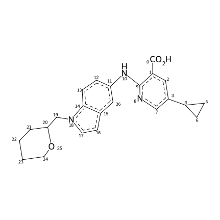 O=C(O)c1cc(C2CC2)cnc1Nc1ccc2c(ccn2CC2CCCCO2)c1